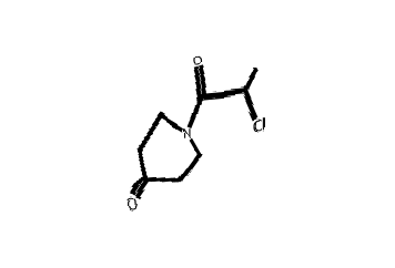 CC(Cl)C(=O)N1CCC(=O)CC1